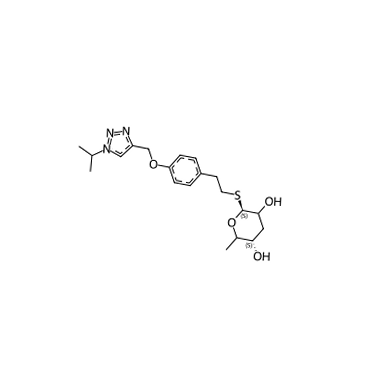 CC1O[C@@H](SCCc2ccc(OCc3cn(C(C)C)nn3)cc2)C(O)C[C@@H]1O